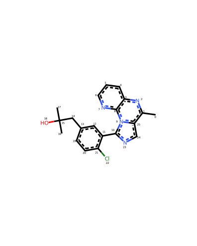 Cc1nc2cccnc2n2c(-c3cc(CC(C)(C)O)ccc3Cl)ncc12